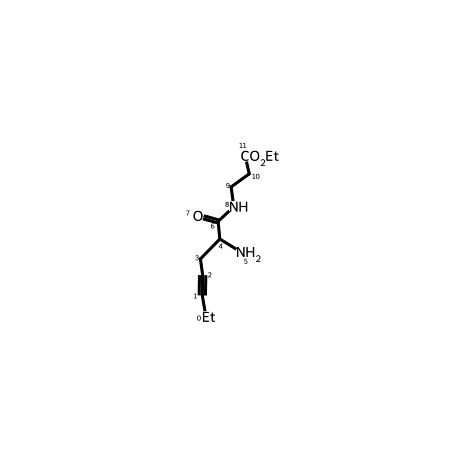 CCC#CCC(N)C(=O)NCCC(=O)OCC